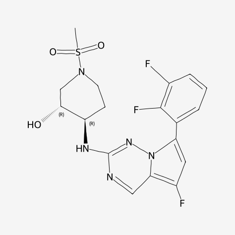 CS(=O)(=O)N1CC[C@@H](Nc2ncc3c(F)cc(-c4cccc(F)c4F)n3n2)[C@H](O)C1